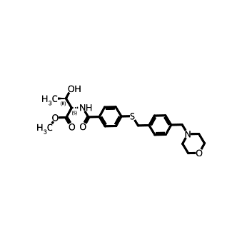 COC(=O)[C@@H](NC(=O)c1ccc(SCc2ccc(CN3CCOCC3)cc2)cc1)[C@@H](C)O